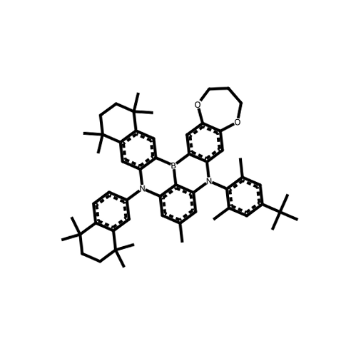 Cc1cc2c3c(c1)N(c1c(C)cc(C(C)(C)C)cc1C)c1cc4c(cc1B3c1cc3c(cc1N2c1ccc2c(c1)C(C)(C)CCC2(C)C)C(C)(C)CCC3(C)C)OCCCO4